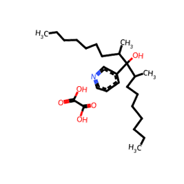 CCCCCCCC(C)C(O)(c1cccnc1)C(C)CCCCCCC.O=C(O)C(=O)O